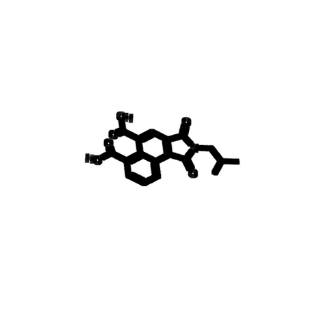 CC(C)CN1C(=O)c2cc(C(=O)O)c3c(C(=O)O)cccc3c2C1=O